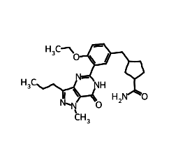 CCCc1nn(C)c2c(=O)[nH]c(-c3cc(CC4CCC(C(N)=O)C4)ccc3OCC)nc12